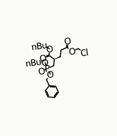 CCCCOC(=O)[C@@H](CCC(=O)OCCl)CP(=O)(OCCCC)OCc1ccccc1